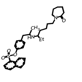 CCC(CCCCN1CCCCCC1=O)NC(C)Cc1ccc(OS(=O)(=O)c2cccc3ccccc23)cc1